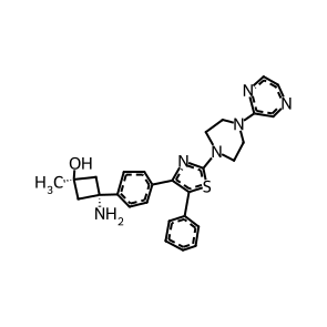 C[C@]1(O)C[C@@](N)(c2ccc(-c3nc(N4CCN(c5cnccn5)CC4)sc3-c3ccccc3)cc2)C1